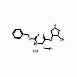 CC(C)C[C@H](NC(=O)OCc1ccccc1)C(=O)NC1CNCC1O.Cl